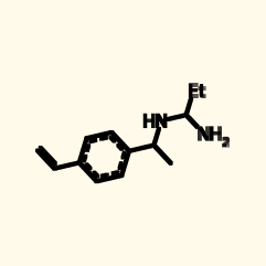 C=Cc1ccc(C(C)NC(N)CC)cc1